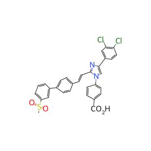 CS(=O)(=O)c1cccc(-c2ccc(/C=C/c3nc(-c4ccc(Cl)c(Cl)c4)cn3-c3ccc(C(=O)O)cc3)cc2)c1